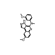 COc1cccc(N(C)c2nc3ccc(OC)cc3c3cn[nH]c23)c1